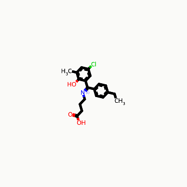 CCc1ccc(/C(=N\CCCC(=O)O)c2cc(Cl)cc(C)c2O)cc1